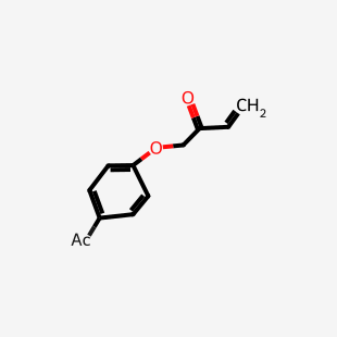 C=CC(=O)COc1ccc(C(C)=O)cc1